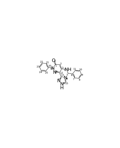 O=c1cc(NCc2ccccc2)c(-c2nc[nH]n2)nn1-c1ccccc1